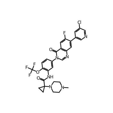 CN1CCN(C2(C(=O)Nc3cc(-n4cnc5cc(-c6cncc(Cl)c6)c(F)cc5c4=O)ccc3OC(F)(F)F)CC2)CC1